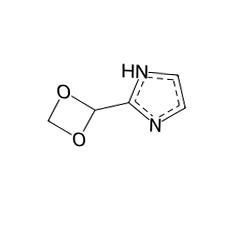 c1c[nH]c(C2OCO2)n1